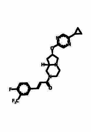 O=C(/C=C/c1ccc(F)c(C(F)(F)F)c1)N1CCN2C[C@H](Oc3cnc(C4CC4)cn3)C[C@H]2C1